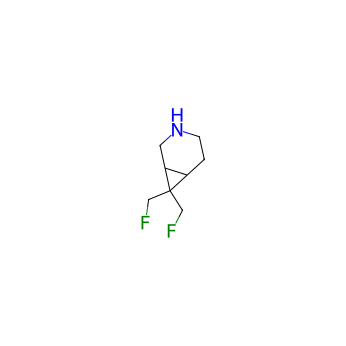 FCC1(CF)C2CCNCC21